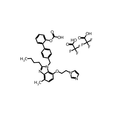 CCCCc1nc2c(C)ccc(OCCn3ccnc3)c2n1Cc1ccc(-c2ccccc2OC(=O)O)cc1.O=C(O)C(F)(F)F.O=C(O)C(F)(F)F